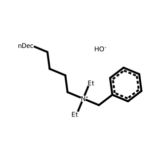 CCCCCCCCCCCCCC[N+](CC)(CC)Cc1ccccc1.[OH-]